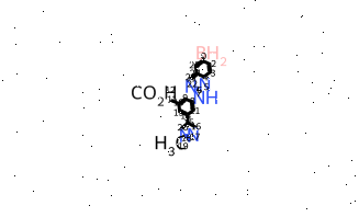 Bc1ccc2nc(Nc3cc(CC(=O)O)cc(C4C=NN(C)C4)c3)ncc2c1